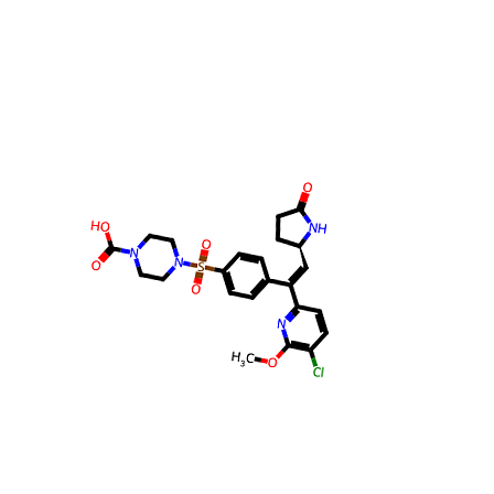 COc1nc(C(=C[C@H]2CCC(=O)N2)c2ccc(S(=O)(=O)N3CCN(C(=O)O)CC3)cc2)ccc1Cl